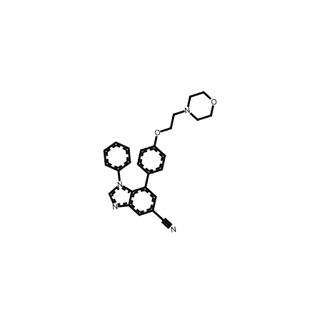 N#Cc1cc(-c2ccc(OCCN3CCOCC3)cc2)c2c(c1)ncn2-c1ccccc1